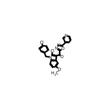 COc1ccc2c(c1)c(C(=O)c1nnc(-c3cccnc3)o1)c(Cl)n2Cc1ccc(Cl)cc1